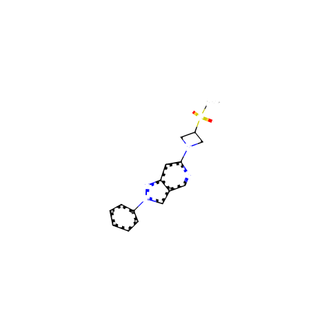 CNS(=O)(=O)C1CN(c2cc3nn(-c4ccccc4)cc3cn2)C1